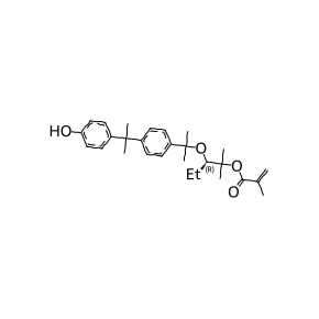 C=C(C)C(=O)OC(C)(C)[C@@H](CC)OC(C)(C)c1ccc(C(C)(C)c2ccc(O)cc2)cc1